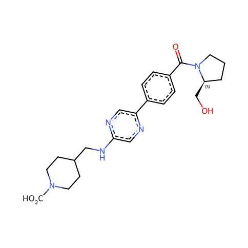 O=C(O)N1CCC(CNc2cnc(-c3ccc(C(=O)N4CCC[C@H]4CO)cc3)cn2)CC1